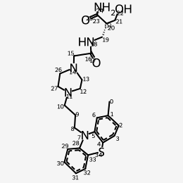 Cc1ccc2c(c1)N(CCCN1CCN(CC(=O)NC[C@@H](CO)C(N)=O)CC1)c1ccccc1S2